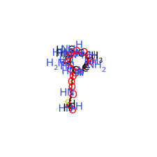 CC(C)C[C@@H]1NC(=O)[C@H](CCCNC(=N)N)NC(=O)[C@H](CCCCN)NC(=O)[C@@H](NC(=O)COCCOCCOCCNC(=O)CCCC[C@H]2SC[C@H]3NC(=O)N[C@H]32)Cc2cn(nn2)CCCC[C@@H](C(N)=O)NC(=O)[C@H](C)NC(=O)CNC1=O